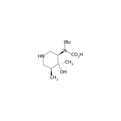 C[C@H]1CNC[C@@H](N(C(=O)O)C(C)(C)C)[C@@]1(C)O